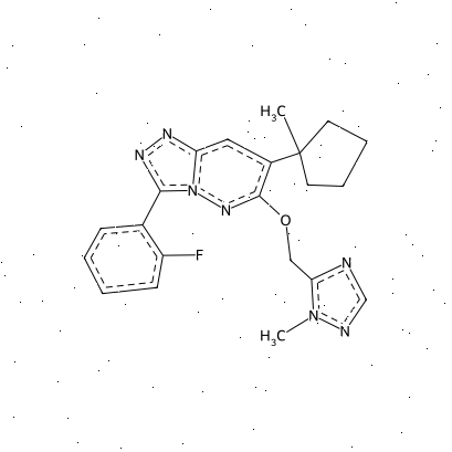 Cn1ncnc1COc1nn2c(-c3ccccc3F)nnc2cc1C1(C)CCCC1